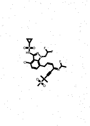 CC(F)/N=C(C#CC(C)(C)S(C)(=O)=O)\C=C/Cc1ccc(Cl)c2c(NS(=O)(=O)C3CC3)nn(CC(F)F)c12